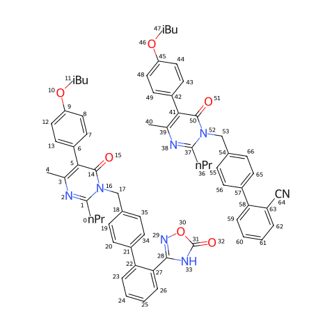 CCCc1nc(C)c(-c2ccc(OC(C)CC)cc2)c(=O)n1Cc1ccc(-c2ccccc2-c2noc(=O)[nH]2)cc1.CCCc1nc(C)c(-c2ccc(OC(C)CC)cc2)c(=O)n1Cc1ccc(-c2ccccc2C#N)cc1